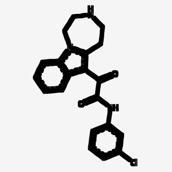 O=C(Nc1cccc(Cl)c1)C(=O)c1c2n(c3ccccc13)CCNCC2